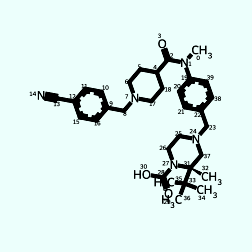 CN(C(=O)C1CCN(Cc2ccc(C#N)cc2)CC1)c1ccc(CN2CCN(C(=O)O)[C@@](C)(C(C)(C)C)C2)cc1